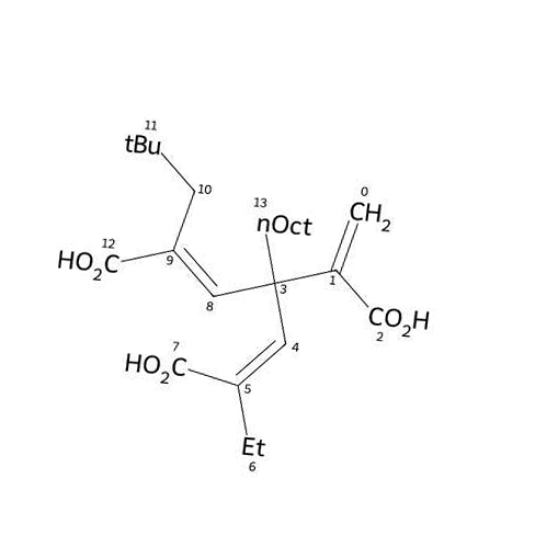 C=C(C(=O)O)C(C=C(CC)C(=O)O)(C=C(CC(C)(C)C)C(=O)O)CCCCCCCC